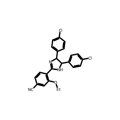 CCOc1cc(C#N)ccc1C1=NC(c2ccc(Cl)cc2)C(c2ccc(Cl)cc2)N1